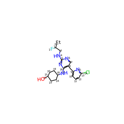 CCC(F)CNc1ncc(-c2cccc(Cl)n2)c(NC2CCC(O)CC2)n1